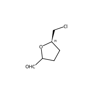 O=CC1CC[C@H](CCl)O1